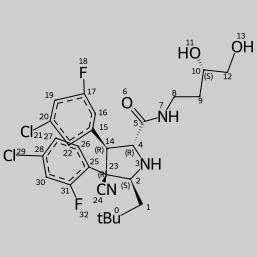 CC(C)(C)C[C@@H]1N[C@@H](C(=O)NCC[C@H](O)CO)[C@H](c2cc(F)cc(Cl)c2)[C@@]1(C#N)c1ccc(Cl)cc1F